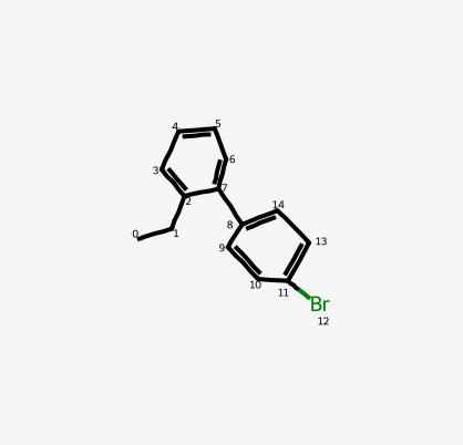 CCc1ccccc1-c1ccc(Br)cc1